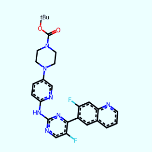 CC(C)(C)OC(=O)N1CCN(c2ccc(Nc3ncc(F)c(-c4cc5cccnc5cc4F)n3)nc2)CC1